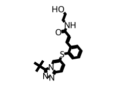 CC(C)(C)c1nnc2ccc(Sc3ccccc3C=CC(=O)NCCO)cn12